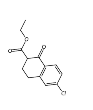 CCOC(=O)C1CCc2cc(Cl)ccc2C1=O